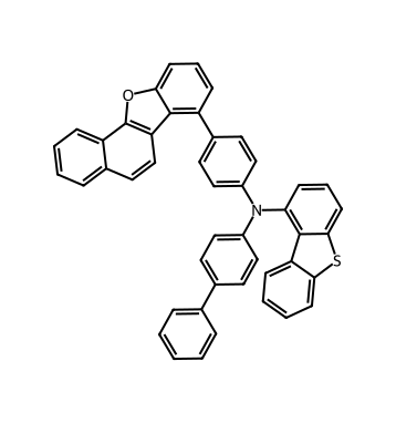 c1ccc(-c2ccc(N(c3ccc(-c4cccc5oc6c7ccccc7ccc6c45)cc3)c3cccc4sc5ccccc5c34)cc2)cc1